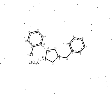 CCOC(=O)[C@H]1CN(Cc2ccccc2)C[C@H]1c1ccccc1Cl